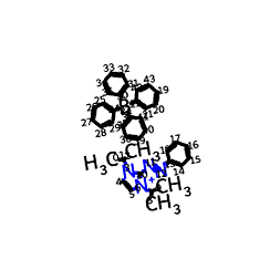 CC(C)n1cc[n+](C(C)C)c1N=Nc1ccccc1.c1ccc([B-](c2ccccc2)(c2ccccc2)c2ccccc2)cc1